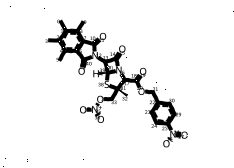 Cc1c(C)c(C)c2c(c1C)C(=O)N(C1C(=O)N3C(C(=O)OCc4ccc([N+](=O)[O-])cc4)[C@](C)(CO[N+](=O)[O-])S[C@H]13)C2=O